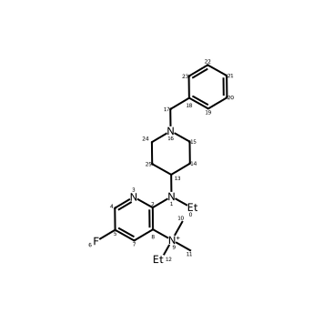 CCN(c1ncc(F)cc1[N+](C)(C)CC)C1CCN(Cc2ccccc2)CC1